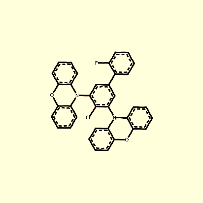 Fc1ccccc1-c1cc(N2c3ccccc3Oc3ccccc32)c(Cl)c(N2c3ccccc3Oc3ccccc32)c1